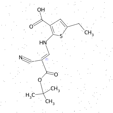 CCc1cc(C(=O)O)c(N/C=C(\C#N)C(=O)OC(C)(C)C)s1